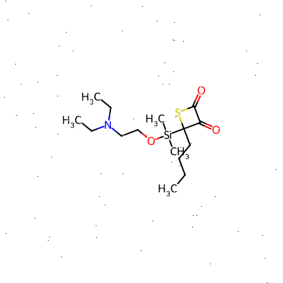 CCCCC1([Si](C)(C)OCCN(CC)CC)SC(=O)C1=O